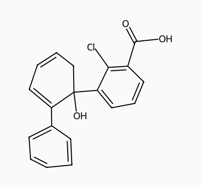 O=C(O)c1cccc(C2(O)CC=CC=C2c2ccccc2)c1Cl